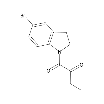 CCC(=O)C(=O)N1CCc2cc(Br)ccc21